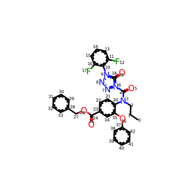 CCCN(C(=O)n1nnn(-c2c(F)cccc2F)c1=O)c1ccc(C(=O)OCc2ccccc2)cc1Oc1ccccc1